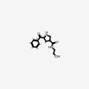 O=C(NCCO)C1CNC(C(=O)c2ccccc2)C1